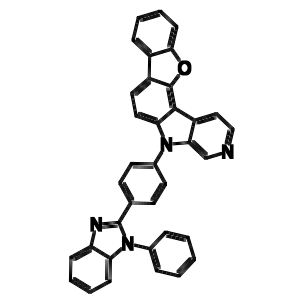 c1ccc(-n2c(-c3ccc(-n4c5cnccc5c5c6oc7ccccc7c6ccc54)cc3)nc3ccccc32)cc1